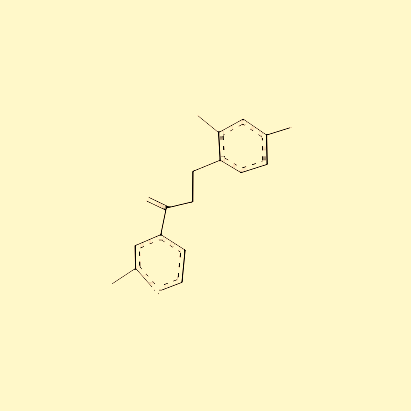 Cc1cc(C(=O)C[CH]c2ccc(Cl)cc2C)ccn1